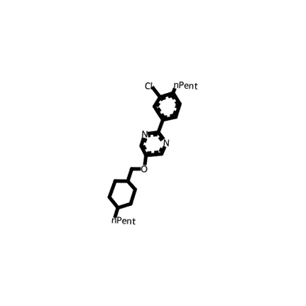 CCCCCc1ccc(-c2ncc(OCC3CCC(CCCCC)CC3)cn2)cc1Cl